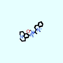 COc1c(N(C)/N=C(\C)c2ccc3ccccc3[n+]2C)cc2c3c1CCCN3CCC2